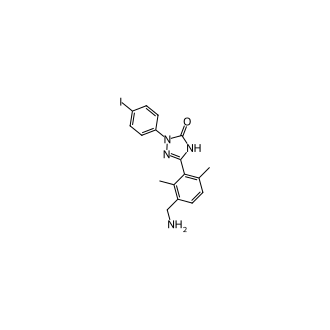 Cc1ccc(CN)c(C)c1-c1nn(-c2ccc(I)cc2)c(=O)[nH]1